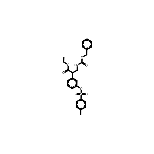 CCOC(=O)C(CNC(=O)OCc1ccccc1)c1cccc(OS(=O)(=O)c2ccc(C)cc2)c1